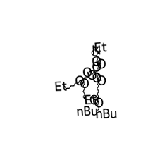 CC/C=C\CCCCOC(CCC(=O)OCC(COC(=O)CCCCCCC(=O)OCCC(CCCC)CCCC)COC(=O)OCC1CCCN(CC)C1)OCCCC/C=C\CC